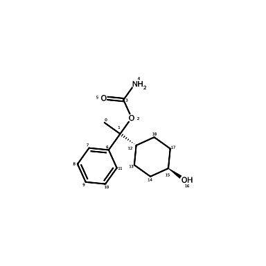 CC(OC(N)=O)(c1ccccc1)[C@H]1CC[C@H](O)CC1